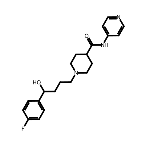 O=C(Nc1ccncc1)C1CCN(CCCC(O)c2ccc(F)cc2)CC1